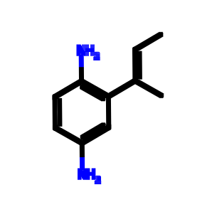 CC=C(C)c1cc(N)ccc1N